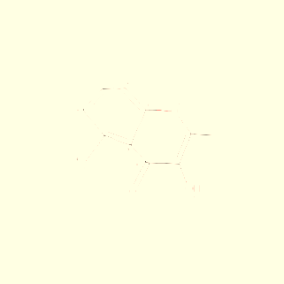 Cc1oc2cccc(O)c2c(=O)c1O